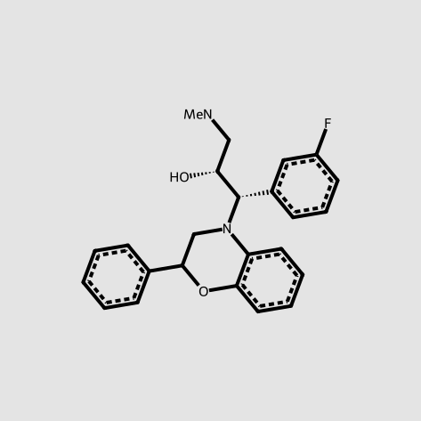 CNC[C@@H](O)[C@H](c1cccc(F)c1)N1CC(c2ccccc2)Oc2ccccc21